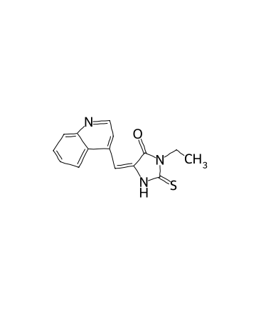 CCN1C(=O)C(=Cc2ccnc3ccccc23)NC1=S